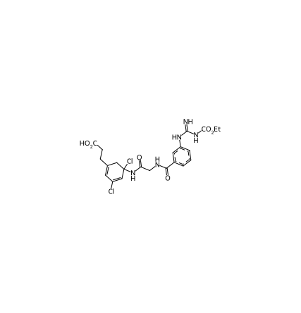 CCOC(=O)NC(=N)Nc1cccc(C(=O)NCC(=O)NC2(Cl)C=C(Cl)C=C(CCC(=O)O)C2)c1